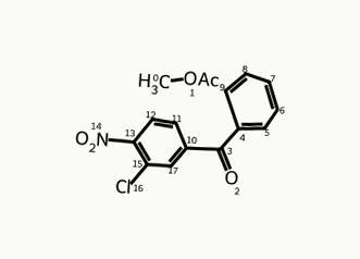 COC(C)=O.O=C(c1ccccc1)c1ccc([N+](=O)[O-])c(Cl)c1